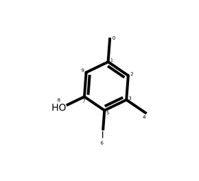 Cc1cc(C)c(I)c(O)c1